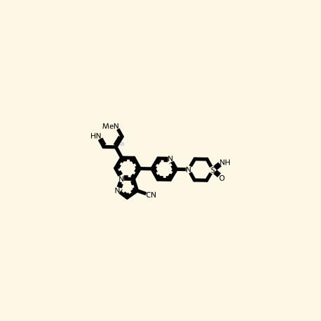 CN/C=C(\C=N)c1cc(-c2ccc(N3CCS(=N)(=O)CC3)nc2)c2c(C#N)cnn2c1